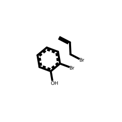 C=CCBr.Oc1ccccc1Br